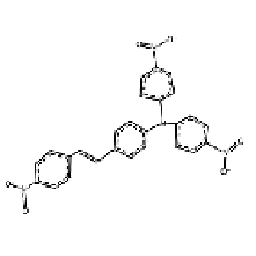 O=[N+]([O-])c1ccc(C=Cc2ccc(N(c3ccc([N+](=O)[O-])cc3)c3ccc([N+](=O)[O-])cc3)cc2)cc1